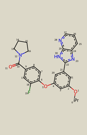 CC(C)Oc1cc(Oc2ccc(C(=O)N3CCCC3)cc2F)cc(-c2nc3cccnc3[nH]2)c1